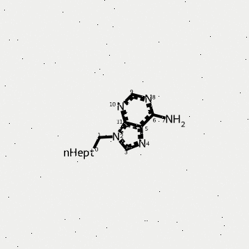 CCCCCCCCn1cnc2c(N)ncnc21